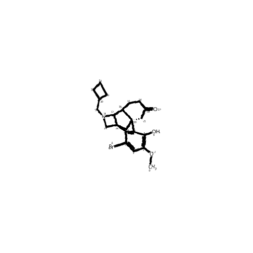 COc1cc(Br)c2c(c1O)[C@]13CC(=O)CCC1C1N(CC4CCC4)CC21C3